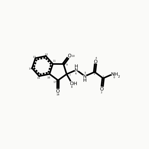 NC(=O)C(=O)NNC1(O)C(=O)c2ccccc2C1=O